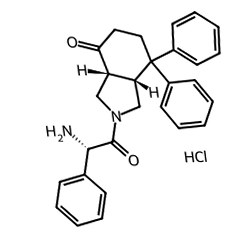 Cl.N[C@H](C(=O)N1C[C@@H]2C(=O)CCC(c3ccccc3)(c3ccccc3)[C@@H]2C1)c1ccccc1